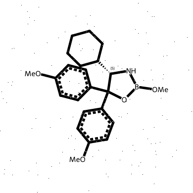 COB1N[C@@H](C2CCCCC2)C(c2ccc(OC)cc2)(c2ccc(OC)cc2)O1